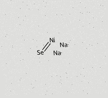 [Na].[Na].[Ni]=[Se]